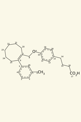 Cc1cccc(/C2=C(\COc3ccc(CCCC(=O)O)cc3)CCCCCC2)c1